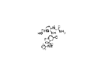 CN(CC(N)=O)[C@H]1CCCC[C@@H]1Nc1cc(F)c(S(=O)(=O)Nc2nccs2)cc1Cl.O=CO